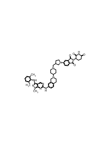 Cc1cccc(C)c1Nc1nn(C)c2nc(Nc3ccc4c(c3)CN(C3CCN(CC5CCN(c6ccc7c(c6)C(=O)N(C6CCC(=O)NC6=O)C7=O)C5)CC3)CC4)ncc12